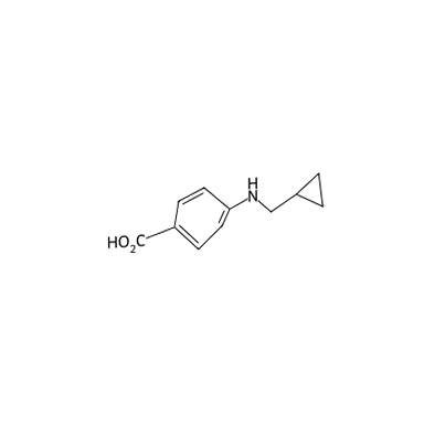 O=C(O)c1ccc(NCC2CC2)cc1